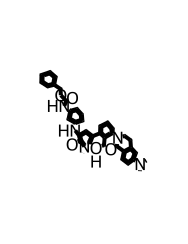 CN(C)c1ccc2c(c1)CCN(c1cccc(-c3cc(Nc4cccc(NC(=O)OCc5ccccc5)c4)c(=O)n(C)c3)c1CO)C2=O